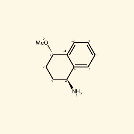 CO[C@H]1CC[C@H](N)c2ccccc21